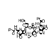 CC(C)C(=O)Nc1nc2c(ncn2[C@@H]2O[C@H](CO)C[C@@H]2O[PH](=O)O[C@H]2C[C@@H](CO)O[C@H]2n2cnc3c(=O)[nH]c(NC(=O)C(C)C)nc32)c(=O)[nH]1